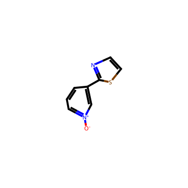 [O-][n+]1cccc(-c2nccs2)c1